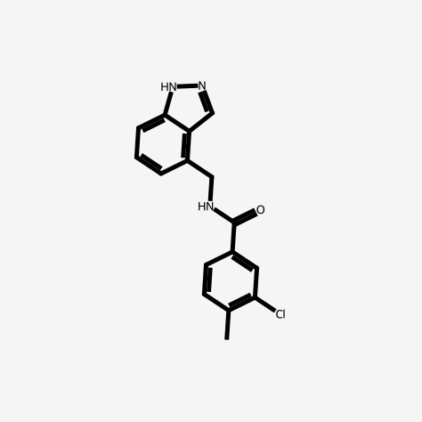 Cc1ccc(C(=O)NCc2cccc3[nH]ncc23)cc1Cl